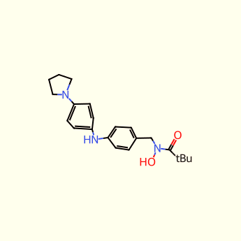 CC(C)(C)C(=O)N(O)Cc1ccc(Nc2ccc(N3CCCC3)cc2)cc1